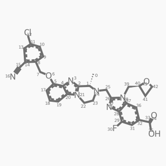 C[C@H]1c2nc3c(OCc4ccc(Cl)cc4C#N)cccc3n2CCN1Cc1nc2c(F)cc(C(=O)O)cc2n1C[C@@H]1CCO1